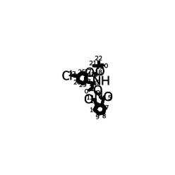 CC(ON1C(=O)c2ccccc2C1=O)C(NC(=O)OC(C)(C)C)c1ccc(Cl)cc1